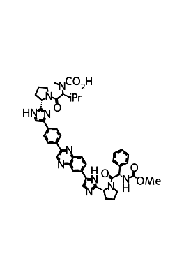 COC(=O)N[C@H](C(=O)N1CCC[C@H]1c1ncc(-c2ccc3nc(-c4ccc(-c5c[nH]c([C@@H]6CCCN6C(=O)[C@H](C(C)C)N(C)C(=O)O)n5)cc4)cnc3c2)[nH]1)c1ccccc1